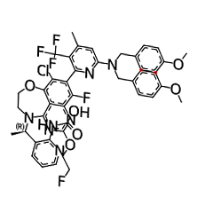 COc1ccc(CN(Cc2ccc(OC)cc2)c2cc(C)c(C(F)(F)F)c(-c3c(Cl)c4c5c(nc(OCCF)nc5c3F)N([C@H](C)c3cccnc3NC(=O)O)CCO4)n2)cc1